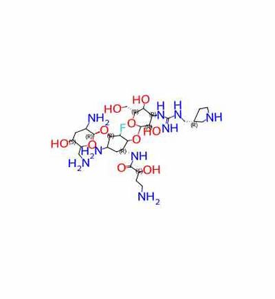 N=C(NC[C@@H]1CCNC1)N[C@@H]1C(O)[C@@H](CO)OC(OC2C(F)[C@H](O[C@H]3OC(CN)[C@@H](O)CC3N)C(N)C[C@H]2NC(=O)[C@@H](O)CCN)[C@@H]1O